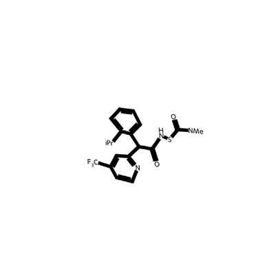 CNC(=O)SNC(=O)C(c1cc(C(F)(F)F)ccn1)c1ccccc1C(C)C